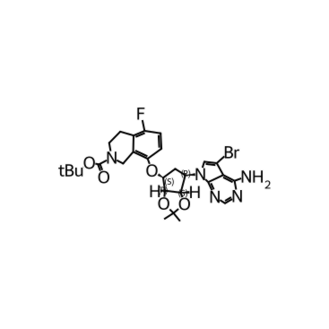 CC(C)(C)OC(=O)N1CCc2c(F)ccc(O[C@H]3C[C@@H](n4cc(Br)c5c(N)ncnc54)[C@@H]4OC(C)(C)O[C@@H]43)c2C1